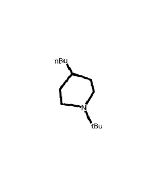 CCCCC1CCN(C(C)(C)C)CC1